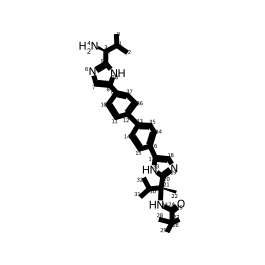 CC(C)[C@H](N)c1ncc(-c2ccc(-c3ccc(-c4cnc([C@](C)(NC(=O)C(C)(C)C)C(C)C)[nH]4)cc3)cc2)[nH]1